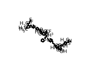 C=C(CCC(F)F)C1=C(CN2CCN(c3ccc(C(=O)NS(=O)(=O)c4ccc(N[C@H](CCN5CCN(CCCCC(=O)N[C@H](C(=O)N6C[C@H](O)C[C@H]6C(=O)NCc6ccc(-c7scnc7C)cc6)C(C)(C)C)CC5)CSc5ccccc5)c(S(=O)(=O)C(F)(F)F)c4)cc3)CC2)CCC(C)(C)C1